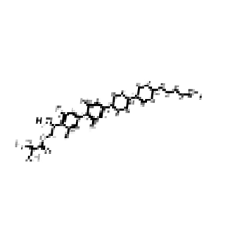 C=C(C)C(=O)OCC(C)c1c(F)cc(-c2c(F)cc(C3CCC(C4CCC(CCCCC)CC4)CC3)cc2F)cc1F